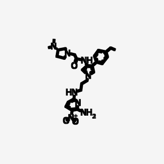 CCc1ccc(-c2cn(CCCNc3ccc([N+](=O)[O-])c(N)n3)cc2NC(=O)CN2CC[C@@H](N(C)C)C2)cc1